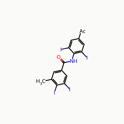 CC(=O)c1cc(I)c(NC(=O)c2cc(C)c(I)c(I)c2)c(I)c1